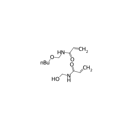 C=CC(=O)NCO.C=CC(=O)NCOCCCC